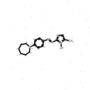 CC[n+]1c(C)csc1/N=N/c1ccc(N2CCCCCC2)cc1